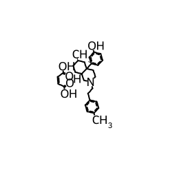 Cc1ccc(CCN2CCC3(c4cccc(O)c4)C[C@@H](C)CC[C@H]3C2)cc1.O=C(O)/C=C\C(=O)O